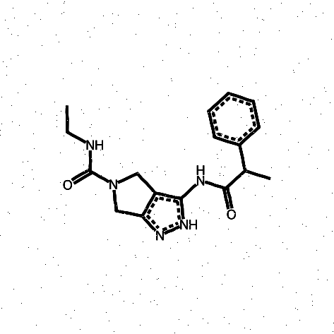 CCNC(=O)N1Cc2n[nH]c(NC(=O)C(C)c3ccccc3)c2C1